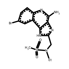 CCN(Cc1nc2c(N)nc3ccc(Br)cc3c2[nH]1)S(C)(=O)=O